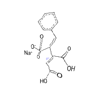 O=C(O)/C=C(\C(=O)O)C(=Cc1ccccc1)S(=O)(=O)[O-].[Na+]